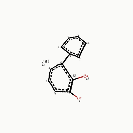 Brc1cccc(-c2ccccc2)c1Br.[LiH]